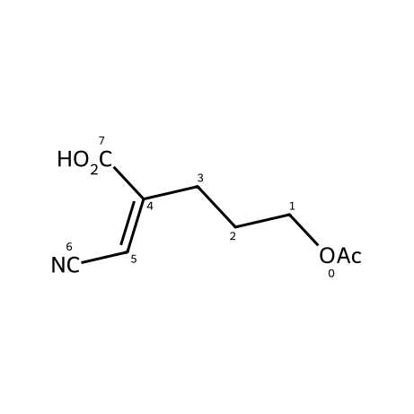 CC(=O)OCCC/C(=C/C#N)C(=O)O